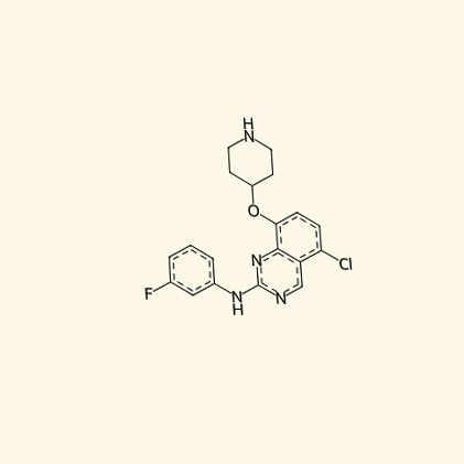 Fc1cccc(Nc2ncc3c(Cl)ccc(OC4CCNCC4)c3n2)c1